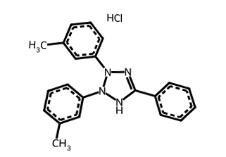 Cc1cccc(N2N=C(c3ccccc3)NN2c2cccc(C)c2)c1.Cl